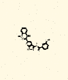 COc1cccc(C(=O)Nc2n[nH]c3sc(C(=O)Nc4ccccc4OC)cc23)c1